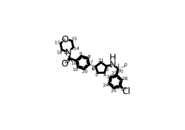 C[C@@H](NC1CC[C@H](c2ccc(C(=O)N3CCOCC3)cc2)C1)c1cccc(Cl)c1